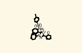 Cc1ccc(S(=O)(=O)Nc2ccccc2C2(C(F)(F)F)OC(c3ccccc3Cl)=NN2c2ccccc2)cc1